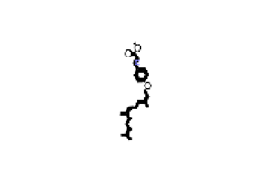 COC(=O)/C=C/c1ccc(OCC=C(C)CCC=C(C)CCC=C(C)C)cc1